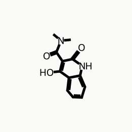 CN(C)C(=O)c1c(O)c2ccccc2[nH]c1=O